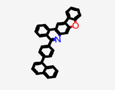 c1ccc2c(-c3ccc(-c4nc5cc6oc7ccccc7c6cc5c5ccccc45)cc3)cccc2c1